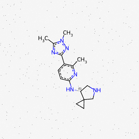 Cc1nc(N[C@@H]2CNCC23CC3)ccc1-c1nc(C)n(C)n1